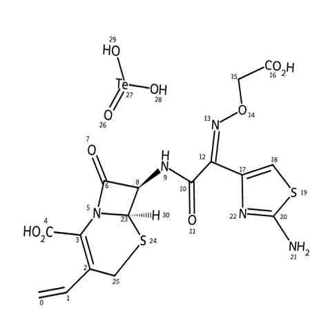 C=CC1=C(C(=O)O)N2C(=O)[C@@H](NC(=O)C(=NOCC(=O)O)c3csc(N)n3)[C@H]2SC1.O=[Te](O)O